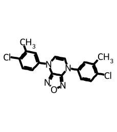 Cc1cc(N2C=CN(c3ccc(Cl)c(C)c3)c3nonc32)ccc1Cl